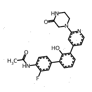 CC(=O)Nc1ccc(-c2cccc(-c3ccnc(N4CCNC(=O)C4)c3)c2O)cc1F